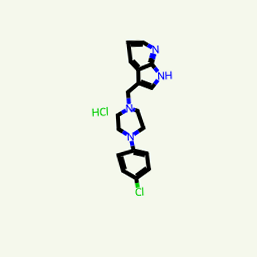 Cl.Clc1ccc(N2CCN(Cc3c[nH]c4ncccc34)CC2)cc1